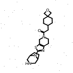 O=C(CC1CCC2(CC1)COC2)N1CCc2nc(N3C4CCC3CNC4)sc2C1